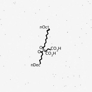 CCCCCCCCC=CCCCCCCCC(=O)N(C(=O)CCCCCCCCCCCCCCC)C(CCC(=O)O)C(=O)O